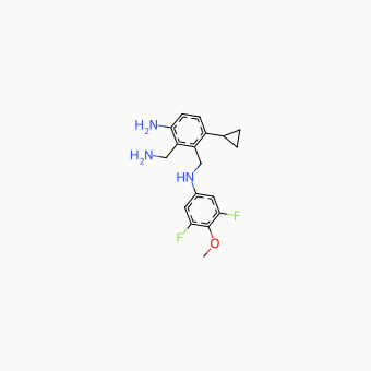 COc1c(F)cc(NCc2c(C3CC3)ccc(N)c2CN)cc1F